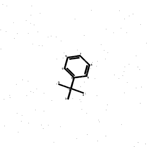 [CH2]C([CH2])(C)c1ccccc1